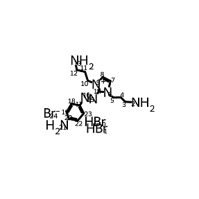 Br.Br.NCCCn1cc[n+](CCCN)c1/N=N/c1ccc(N)cc1.[Br-]